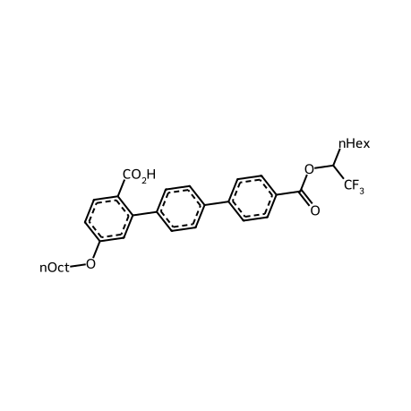 CCCCCCCCOc1ccc(C(=O)O)c(-c2ccc(-c3ccc(C(=O)OC(CCCCCC)C(F)(F)F)cc3)cc2)c1